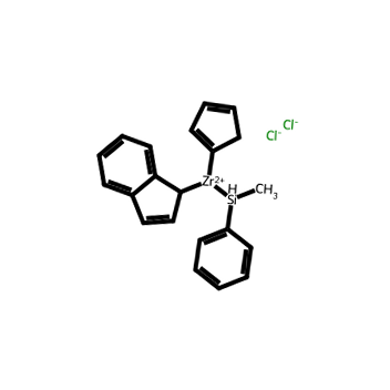 C[SiH](c1ccccc1)[Zr+2]([C]1=CC=CC1)[CH]1C=Cc2ccccc21.[Cl-].[Cl-]